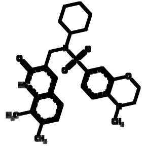 Cc1ccc2cc(CN(C3CCCCC3)S(=O)(=O)c3ccc4c(c3)OCCN4C)c(=O)[nH]c2c1C